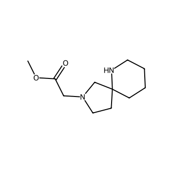 COC(=O)CN1CCC2(CCCCN2)C1